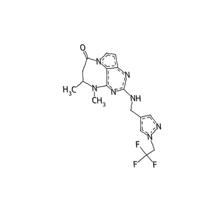 CC1CC(=O)n2ccc3nc(NCc4cnn(CC(F)(F)F)c4)nc(c32)N1C